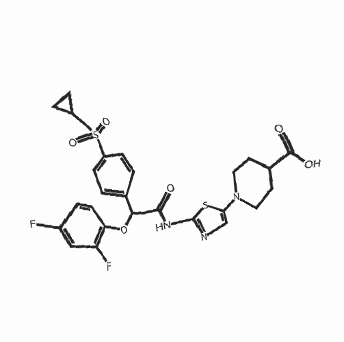 O=C(O)C1CCN(c2cnc(NC(=O)C(Oc3ccc(F)cc3F)c3ccc(S(=O)(=O)C4CC4)cc3)s2)CC1